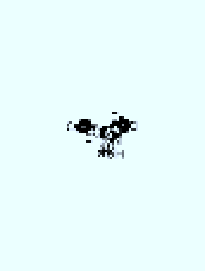 Clc1ccc(COC(CSCc2ccc(Cl)cc2Cl)Cn2ccnc2)c(Cl)c1.O=[N+]([O-])O